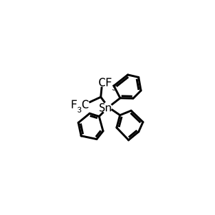 FC(F)(F)[CH](C(F)(F)F)[Sn]([c]1ccccc1)([c]1ccccc1)[c]1ccccc1